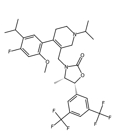 COc1cc(F)c(C(C)C)cc1C1=C(CN2C(=O)O[C@H](c3cc(C(F)(F)F)cc(C(F)(F)F)c3)[C@@H]2C)CN(C(C)C)CC1